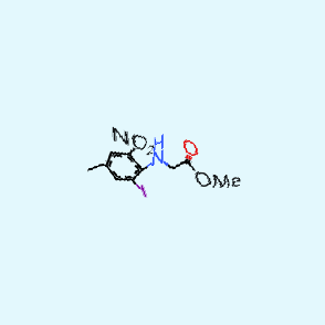 COC(=O)CNc1c(I)cc(C)cc1[N+](=O)[O-]